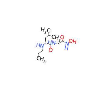 CCCN[C@@H](CC(C)C)C(=O)NCC(=O)NO